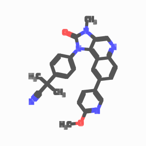 COc1ccc(-c2ccc3ncc4c(c3c2)n(-c2ccc(C(C)(C)C#N)cc2)c(=O)n4C)cn1